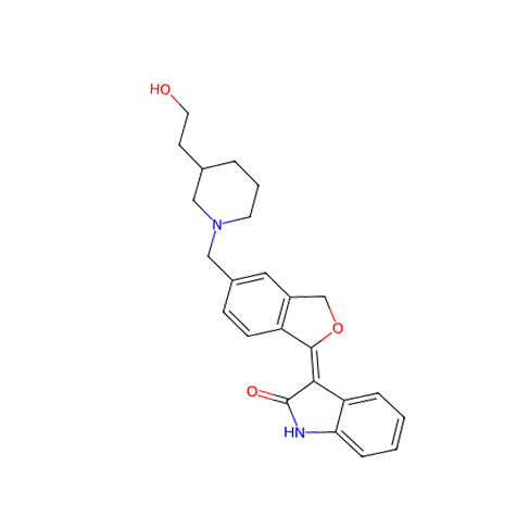 O=C1Nc2ccccc2C1=C1OCc2cc(CN3CCCC(CCO)C3)ccc21